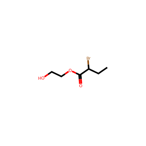 CCC(Br)C(=O)OCCO